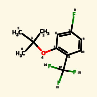 CC(C)(C)Oc1cc(F)ccc1C(F)(F)F